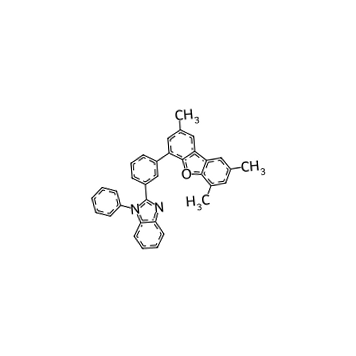 Cc1cc(C)c2oc3c(-c4cccc(-c5nc6ccccc6n5-c5ccccc5)c4)cc(C)cc3c2c1